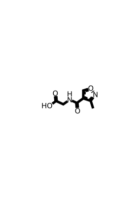 Cc1nocc1C(=O)NCC(=O)O